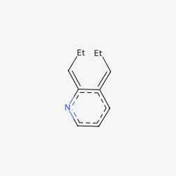 CC/C=c1/cccn/c1=C/CC